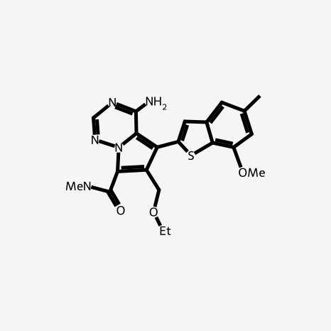 CCOCc1c(-c2cc3cc(C)cc(OC)c3s2)c2c(N)ncnn2c1C(=O)NC